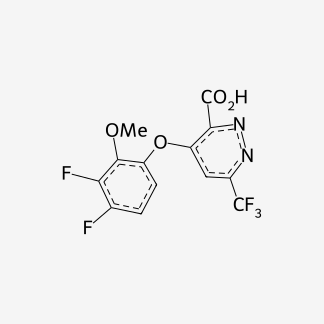 COc1c(Oc2cc(C(F)(F)F)nnc2C(=O)O)ccc(F)c1F